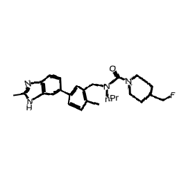 CCCN(Cc1cc(-c2ccc3nc(C)[nH]c3c2)ccc1C)C(=O)N1CCC(CF)CC1